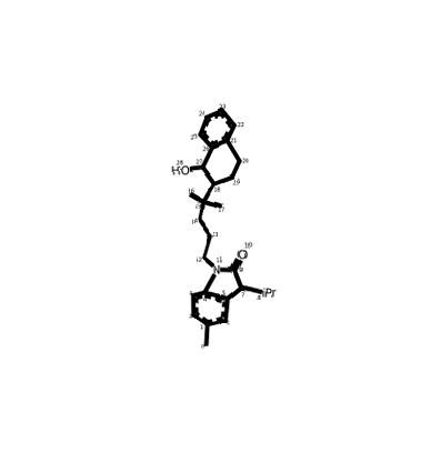 Cc1ccc2c(c1)C(C(C)C)C(=O)N2CCCC(C)(C)C1CCc2ccccc2C1O